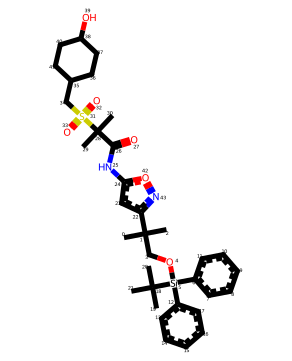 CC(C)(CO[Si](c1ccccc1)(c1ccccc1)C(C)(C)C)c1cc(NC(=O)C(C)(C)S(=O)(=O)CC2CCC(O)CC2)on1